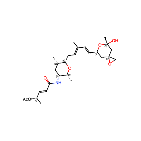 CC(=O)O[C@@H](C)C=CC(=O)N[C@@H]1C[C@H](C)[C@H](CC=C(C)C=C[C@@H]2C[C@@]3(CO3)C[C@@](C)(O)O2)O[C@@H]1C